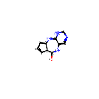 O=C1NC2C=NCNC2NC2CC=CC12